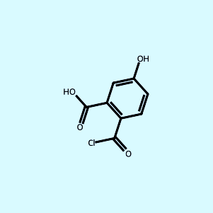 O=C(O)c1cc(O)ccc1C(=O)Cl